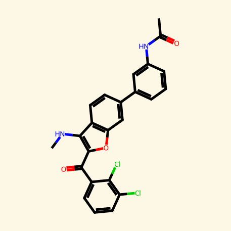 CNc1c(C(=O)c2cccc(Cl)c2Cl)oc2cc(-c3cccc(NC(C)=O)c3)ccc12